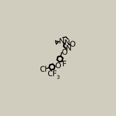 O=c1nc(OCc2ccc(Oc3ccc(Cl)c(C(F)(F)F)c3)c(F)c2)cc2n1CCCN2C1CC1